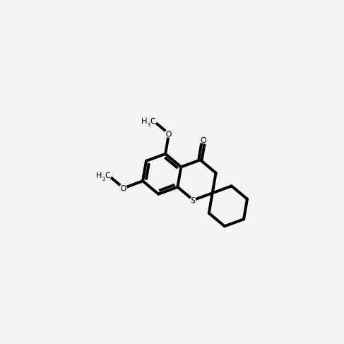 COc1cc(OC)c2c(c1)SC1(CCCCC1)CC2=O